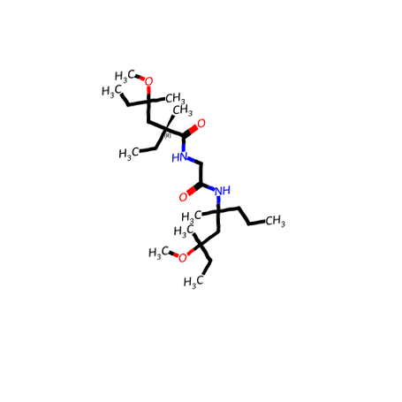 CCCC(C)(CC(C)(CC)OC)NC(=O)CNC(=O)[C@](C)(CC)CC(C)(CC)OC